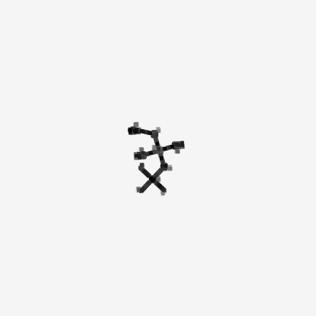 CC(C)(C)[O][Ti]([OH])([OH])[O][Si](C)(C)C